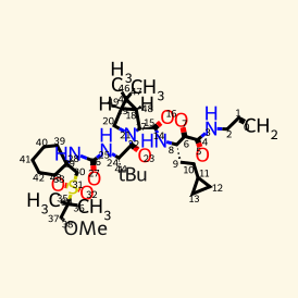 C=CCNC(=O)C(=O)[C@H](CCC1CC1)NC(=O)[C@@H]1[C@@H]2[C@H](CN1C(=O)[C@@H](NC(=O)NC1(CS(=O)(=O)C(C)(C)COC)CCCCC1)C(C)(C)C)C2(C)C